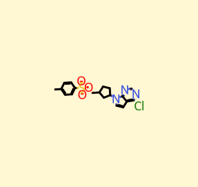 Cc1ccc(S(=O)(=O)OCC2CCC(n3ccc4c(Cl)ncnc43)C2)cc1